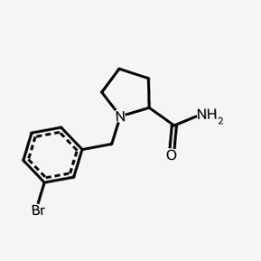 NC(=O)C1CCCN1Cc1cccc(Br)c1